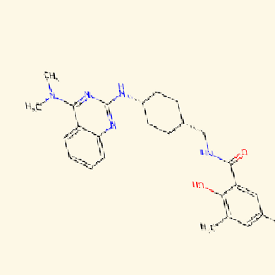 Cc1cc(C)c(O)c(C(=O)NC[C@H]2CC[C@@H](Nc3nc(N(C)C)c4ccccc4n3)CC2)c1